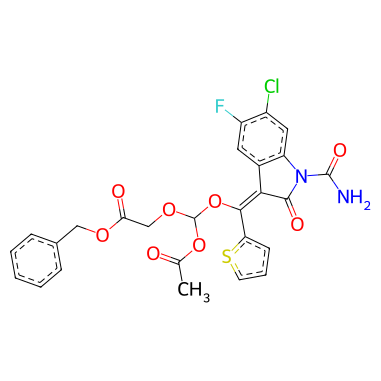 CC(=O)OC(OCC(=O)OCc1ccccc1)OC(=C1C(=O)N(C(N)=O)c2cc(Cl)c(F)cc21)c1cccs1